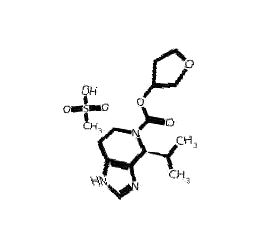 CC(C)[C@H]1c2nc[nH]c2CCN1C(=O)OC1CCOC1.CS(=O)(=O)O